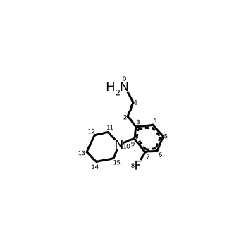 NCCc1cccc(F)c1N1CCCCC1